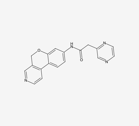 O=C(Cc1cnccn1)Nc1ccc2c(c1)OCc1cnccc1-2